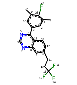 Cc1cc(-c2ncnc3cc(CCC(F)(F)F)ccc23)cc(C)c1F